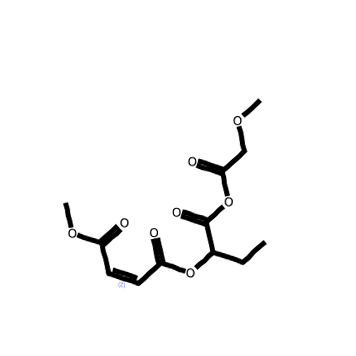 CCC(OC(=O)/C=C\C(=O)OC)C(=O)OC(=O)COC